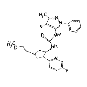 COCCN1CC(c2ccc(F)cn2)[C@H](NC(=O)Nc2c(Br)c(C)nn2-c2ccccc2)C1